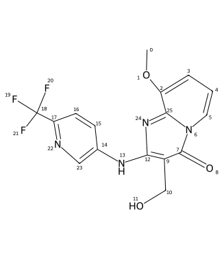 COc1cccn2c(=O)c(CO)c(Nc3ccc(C(F)(F)F)nc3)nc12